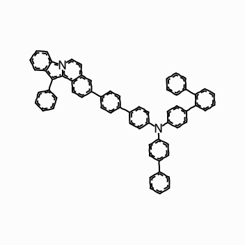 c1ccc(-c2ccc(N(c3ccc(-c4ccc(-c5ccc6c(ccn7c8ccccc8c(-c8ccccc8)c67)c5)cc4)cc3)c3ccc(-c4ccccc4-c4ccccc4)cc3)cc2)cc1